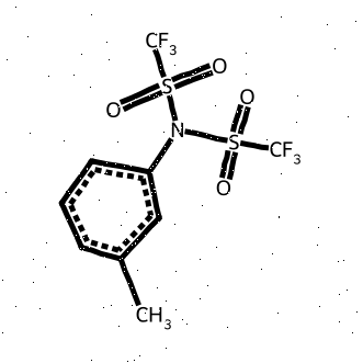 Cc1cccc(N(S(=O)(=O)C(F)(F)F)S(=O)(=O)C(F)(F)F)c1